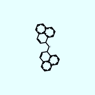 [C](C1C=Cc2cccc3cccc1c23)C1C=Cc2cccc3cccc1c23